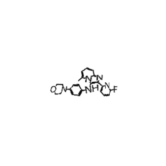 Cc1cccc2nc(-c3cccc(F)n3)c(Nc3ccc(N4CCOCC4)cc3)n12